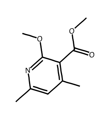 COC(=O)c1c(C)cc(C)nc1OC